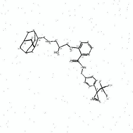 O=C(NCc1ccc(C2(C(F)(F)F)N=N2)cc1)c1ccccc1OCC(O)CNCC1C2CC3CC(C2)CC1C3